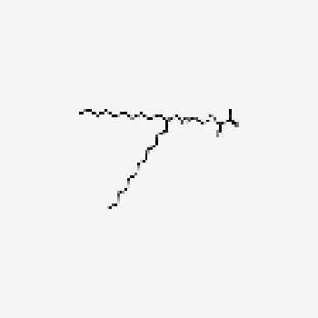 C=C(C)C(=O)OCCOCC(CCCCCCCCCC)CCCCCCCCCCCC